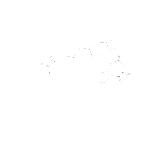 C=C(C)C(=O)O.C=C(C)C(=O)OC.C=C(O)C(=O)OCC.C=CC(=O)OCCCC.C=CCOC(=O)C(=C)C